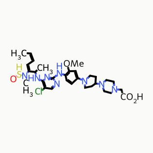 C/C=C\C=C(/C(C)Nc1nc(Nc2ccc(N3CCC(N4CCN(CC(=O)O)CC4)CC3)cc2OC)ncc1Cl)N(C)[SH]=O